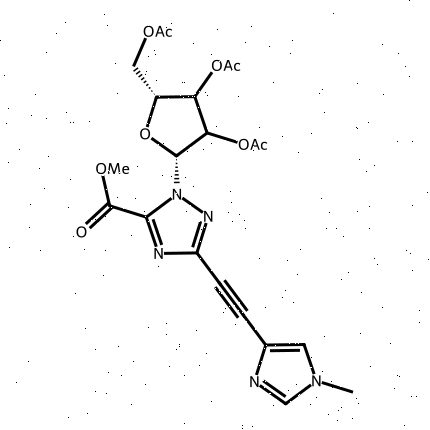 COC(=O)c1nc(C#Cc2cn(C)cn2)nn1[C@@H]1O[C@H](COC(C)=O)C(OC(C)=O)C1OC(C)=O